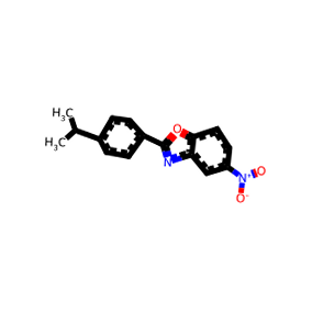 CC(C)c1ccc(-c2nc3cc([N+](=O)[O-])ccc3o2)cc1